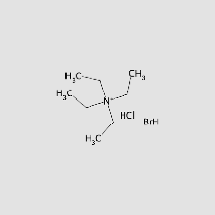 Br.CC[N+](CC)(CC)CC.Cl